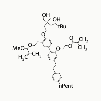 C=C(C)C(=O)OCCOc1cc(CCc2ccc(CCCCC)cc2)ccc1-c1ccc(OCCC(CO)(CO)CCC(C)(C)C)c(CCOC(OC)C(=C)C)c1